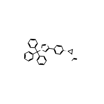 O=C(O)[C@H]1C[C@@H]1c1ccc(-c2cn(C(c3ccccc3)(c3ccccc3)c3ccccc3)cn2)cc1